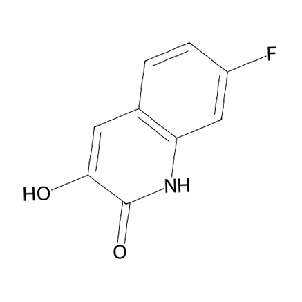 O=c1[nH]c2cc(F)ccc2cc1O